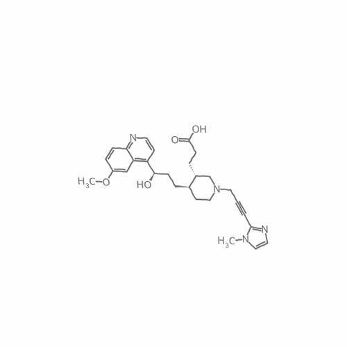 COc1ccc2nccc([C@H](O)CC[C@@H]3CCN(CC#Cc4nccn4C)C[C@H]3CCC(=O)O)c2c1